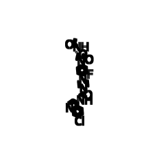 CC(=O)NC[C@H]1CN(c2ccc(N3CCN(C(=O)CNc4ccnc5cc(Cl)ccc45)CC3)c(F)c2)C(=O)O1